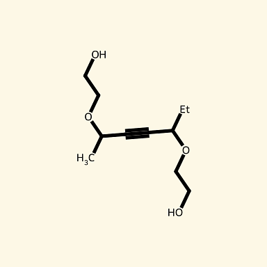 CCC(C#CC(C)OCCO)OCCO